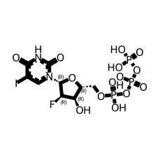 O=c1[nH]c(=O)n([C@@H]2O[C@H](COP(=O)(O)OP(=O)(O)OP(=O)(O)O)[C@@H](O)[C@H]2F)cc1I